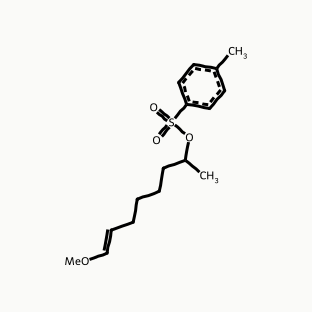 COC=CCCCCC(C)OS(=O)(=O)c1ccc(C)cc1